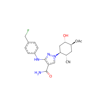 CC(=O)O[C@H]1C[C@H](C#N)[C@@H](n2cc(C(N)=O)c(Nc3ccc(CF)cc3)n2)C[C@@H]1O